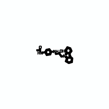 CC(=O)Nc1ccc(NCC(O)Cn2c3ccccc3c3ccccc32)cc1